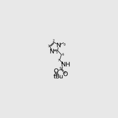 Cn1ccnc1CCNC(=O)OC(C)(C)C